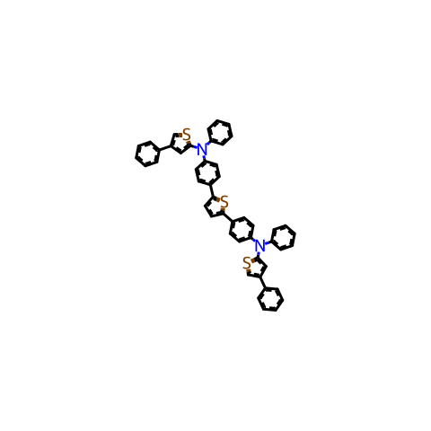 c1ccc(-c2csc(N(c3ccccc3)c3ccc(-c4ccc(-c5ccc(N(c6ccccc6)c6cc(-c7ccccc7)cs6)cc5)s4)cc3)c2)cc1